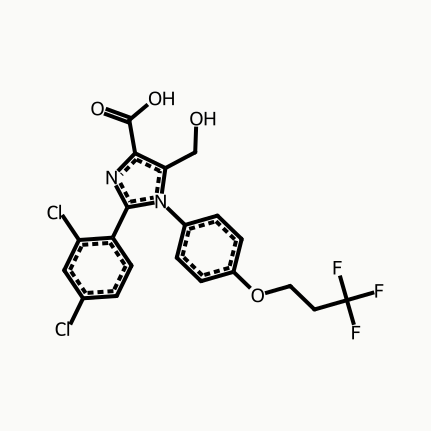 O=C(O)c1nc(-c2ccc(Cl)cc2Cl)n(-c2ccc(OCCC(F)(F)F)cc2)c1CO